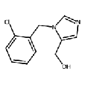 OCc1cncn1Cc1ccccc1Cl